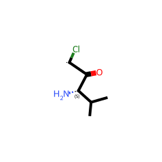 CC(C)[C@H](N)C(=O)[CH]Cl